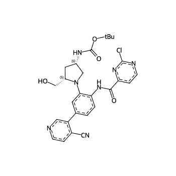 CC(C)(C)OC(=O)N[C@H]1C[C@@H](CO)N(c2cc(-c3cnccc3C#N)ccc2NC(=O)c2ccnc(Cl)n2)C1